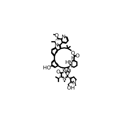 CCn1c(-c2cccnc2[C@H](C)OC)c2c3cc(ccc31)-c1cc(O)cc(c1)C[C@H](NC(=O)[C@H](C(C)C)N(C)C(=O)[C@H]1CCN(C)[C@H]1CO)C(=O)N1CCC[C@H](N1)C(=O)OCC(C)(C)C2